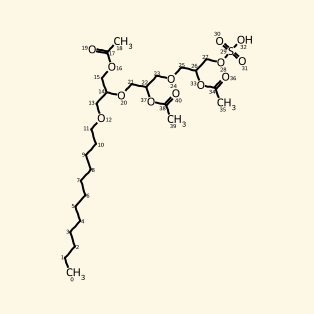 CCCCCCCCCCCCOCC(COC(C)=O)OCC(COCC(COS(=O)(=O)O)OC(C)=O)OC(C)=O